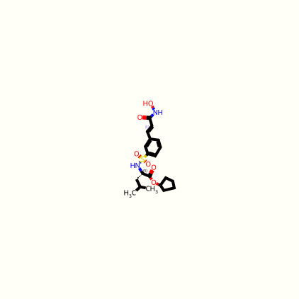 CC(C)C[C@H](NS(=O)(=O)c1cccc(/C=C/C(=O)NO)c1)C(=O)OC1CCCC1